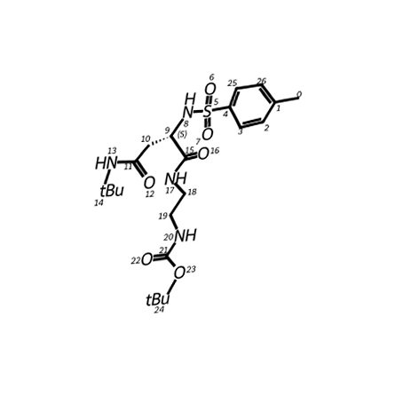 Cc1ccc(S(=O)(=O)N[C@@H](CC(=O)NC(C)(C)C)C(=O)NCCNC(=O)OC(C)(C)C)cc1